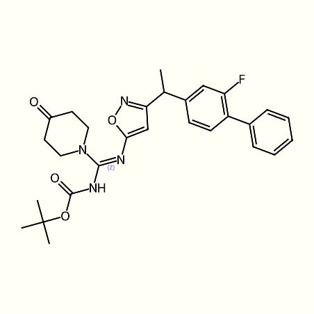 CC(c1ccc(-c2ccccc2)c(F)c1)c1cc(/N=C(/NC(=O)OC(C)(C)C)N2CCC(=O)CC2)on1